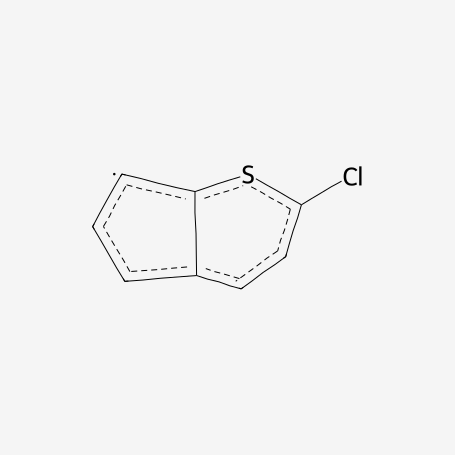 Clc1ccc2cc[c]c-2s1